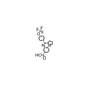 O=C(O)c1ccc2c(c1)nc(-c1ccc(OC(F)(F)F)cc1)c1cccn12